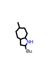 CCC(C)C1CC2CCC(C)CCC2N1